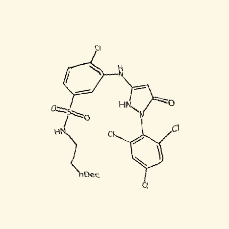 CCCCCCCCCCCCNS(=O)(=O)c1ccc(Cl)c(Nc2cc(=O)n(-c3c(Cl)cc(Cl)cc3Cl)[nH]2)c1